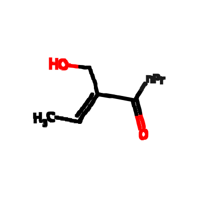 CC=C(CO)C(=O)CCC